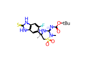 CN1/C(=N\C(=O)OC(C)(C)C)N[C@](C)(c2cc3[nH]c(=S)[nH]c3cc2F)CS1(=O)=O